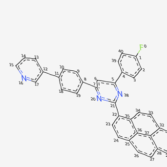 Fc1ccc(-c2cc(-c3ccc(-c4cccnc4)cc3)nc(-c3ccc4ccc5cccc6ccc3c4c56)n2)cc1